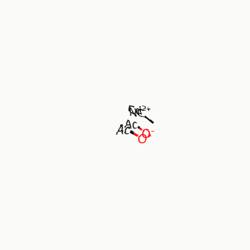 CC#N.CC(=O)[O-].CC(=O)[O-].[Cd+2]